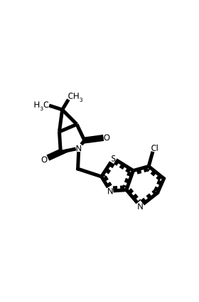 CC1(C)C2C(=O)N(Cc3nc4nccc(Cl)c4s3)C(=O)C21